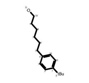 CC(C)(C)c1ccc(CCCCCC[O])cc1